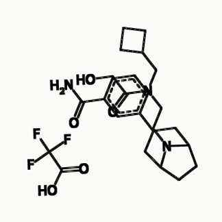 NC(=O)c1cccc(C2CC3CCC(C2)N3CCN(CC2CCC2)C(=O)CO)c1.O=C(O)C(F)(F)F